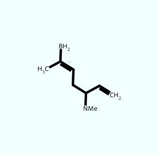 B/C(C)=C/CC(C=C)NC